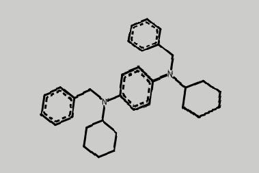 c1ccc(CN(c2ccc(N(Cc3ccccc3)C3CCCCC3)cc2)C2CCCCC2)cc1